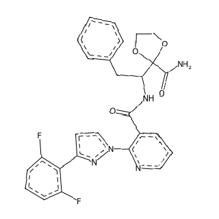 NC(=O)C1(C(Cc2ccccc2)NC(=O)c2cccnc2-n2ccc(-c3c(F)cccc3F)n2)OCCO1